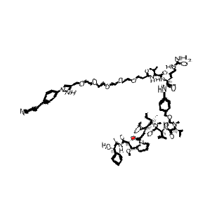 CC[C@H](C)[C@@H]([C@@H](CC(=O)N1CCC[C@H]1[C@H](OC)[C@@H](C)C(=O)N[C@H](C)[C@@H](O)c1ccccc1)OC)N(C)C(=O)[C@@H](NC(=O)[C@H](C(C)C)N(C)C(=O)OCc1ccc(NC(=O)[C@H](CCCNC(N)=O)NC(=O)[C@@H](NC(=O)CCOCCOCCOCCOCCOCc2cn(-c3ccc(C#CC#N)cc3)[nH]2)C(C)C)cc1)C(C)C